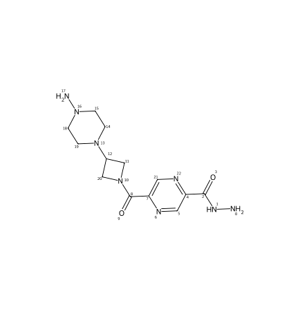 NNC(=O)c1cnc(C(=O)N2CC(N3CCN(N)CC3)C2)cn1